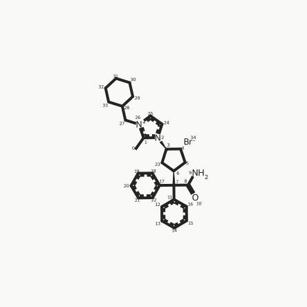 Cc1n([C@H]2CC[C@@H](C(C(N)=O)(c3ccccc3)c3ccccc3)C2)cc[n+]1CC1CCCCC1.[Br-]